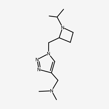 CC(C)N1CCC1Cn1cc(CN(C)C)nn1